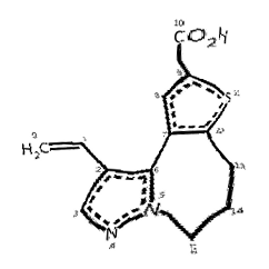 C=Cc1cnn2c1-c1cc(C(=O)O)sc1CCC2